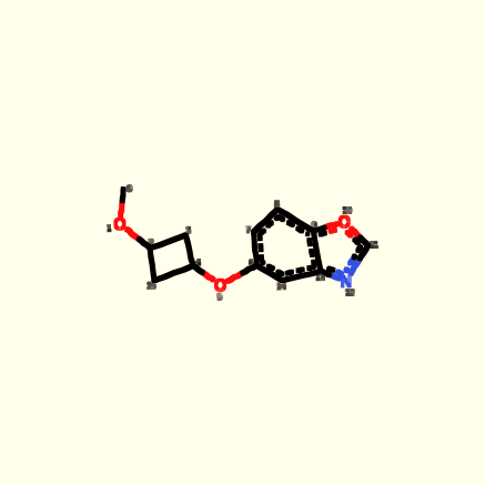 COC1CC(Oc2ccc3ocnc3c2)C1